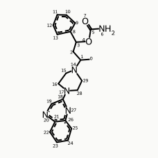 CC(CC(OC(N)=O)c1ccccc1)N1CCN(c2cnc3ccccc3n2)CC1